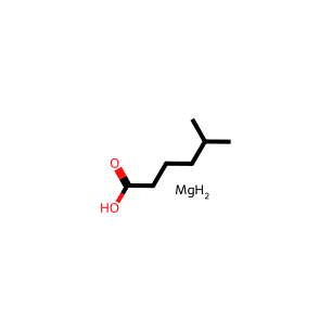 CC(C)CCCC(=O)O.[MgH2]